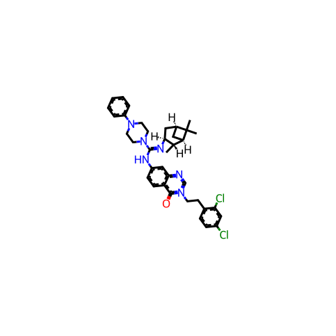 C[C@@H]1[C@@H](N=C(Nc2ccc3c(=O)n(CCc4ccc(Cl)cc4Cl)cnc3c2)N2CCN(c3ccccc3)CC2)C[C@@H]2C[C@H]1C2(C)C